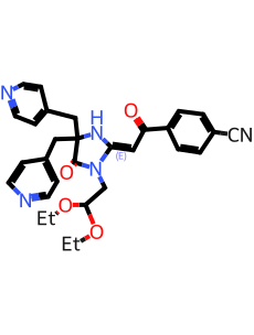 CCOC(CN1C(=O)C(Cc2ccncc2)(Cc2ccncc2)N/C1=C\C(=O)c1ccc(C#N)cc1)OCC